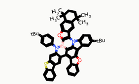 CC(C)(C)c1ccc(N2B3c4oc5cc6c(cc5c4-n4c5ccc(C(C)(C)C)cc5c5c7oc8ccccc8c7c(c3c54)-c3cc4c(cc32)sc2ccccc24)C(C)(C)CCC6(C)C)cc1